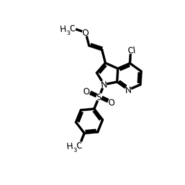 COC=Cc1cn(S(=O)(=O)c2ccc(C)cc2)c2nccc(Cl)c12